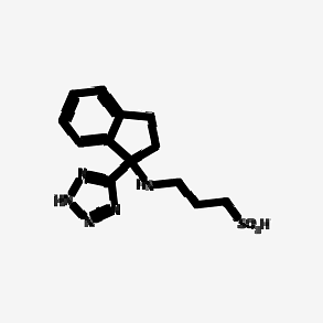 O=S(=O)(O)CCCNC1(c2nn[nH]n2)CCc2ccccc21